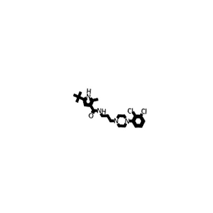 Cc1[nH]c(C(C)(C)C)cc1C(=O)NCCCN1CCN(c2cccc(Cl)c2Cl)CC1